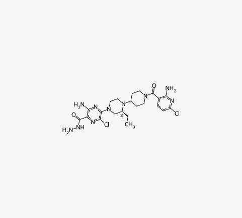 CC[C@H]1CN(c2nc(N)c(C(=O)NN)nc2Cl)CCN1C1CCN(C(=O)c2ccc(Cl)nc2N)CC1